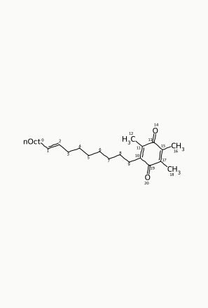 CCCCCCCCC=CCCCCCCCC1=C(C)C(=O)C(C)=C(C)C1=O